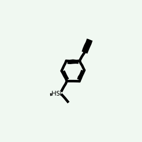 C#Cc1ccc([SiH](C)C)cc1